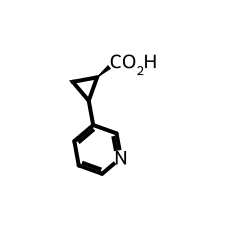 O=C(O)[C@@H]1CC1c1cccnc1